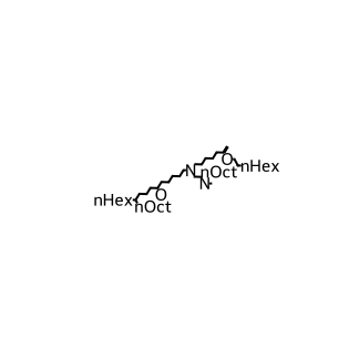 C=C(CCCCCN(CCCCCC(=O)CCCC(CCCCCC)CCCCCCCC)CCN(C)C)OCC(CCCCCC)CCCCCCCC